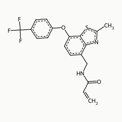 C=CC(=O)NCc1ccc(Oc2ccc(C(F)(F)F)cc2)c2sc(C)nc12